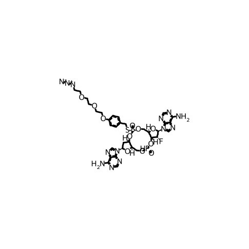 [N-]=[N+]=NCCOCCOCCOc1ccc(CS[P@@]2(=O)OC[C@H]3O[C@@H](n4cnc5c(N)ncnc54)[C@H](F)[C@@H]3O[PH](=O)OC[C@H]3O[C@@H](n4cnc5c(N)ncnc54)C[C@@H]3O2)cc1